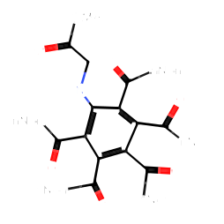 CCCCCCCCCC(=O)c1c(NCC(=O)OC)c(C(=O)CCCCCCCCC)c(C(=O)CCCCCCCCC)c(C(=O)CCCCCCCCC)c1C(=O)CCCCCCCCC